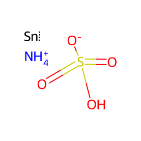 O=S(=O)([O-])O.[NH4+].[Sn]